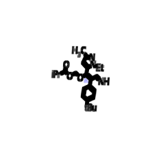 CCn1nc(C)cc1/C(OCOC(=O)C(C)C)=C(\C=N)c1ccc(C(C)(C)C)cc1